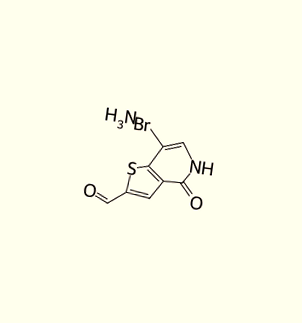 N.O=Cc1cc2c(=O)[nH]cc(Br)c2s1